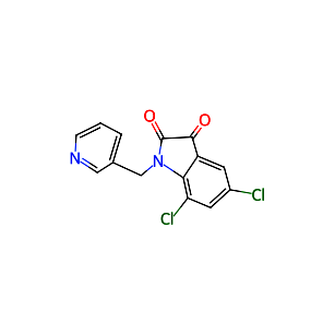 O=C1C(=O)N(Cc2cccnc2)c2c(Cl)cc(Cl)cc21